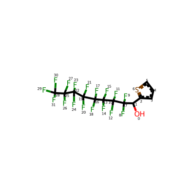 OC(c1cccs1)C(F)(F)C(F)(F)C(F)(F)C(F)(F)C(F)(F)C(F)(F)C(F)(F)C(F)(F)F